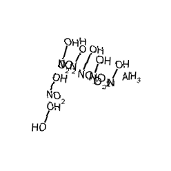 O=[N+]([O-])O.O=[N+]([O-])O.O=[N+]([O-])O.O=[N+]([O-])O.O=[N+]([O-])O.O=[N+]([O-])O.OO.[AlH3]